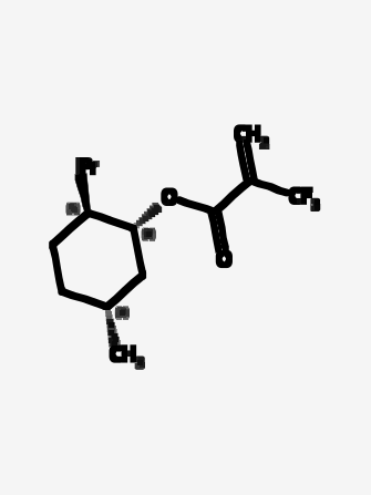 C=C(C(=O)O[C@@H]1C[C@H](C)CC[C@H]1C(C)C)C(F)(F)F